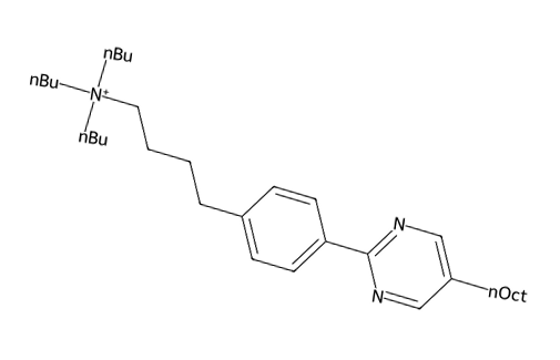 CCCCCCCCc1cnc(-c2ccc(CCCC[N+](CCCC)(CCCC)CCCC)cc2)nc1